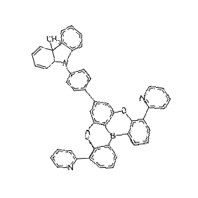 CC12C=CC=CC1N(c1ccc(-c3cc4c5c(c3)Oc3c(cccc3-c3ccccn3)B5c3cccc(-c5ccccn5)c3O4)cc1)c1ccccc12